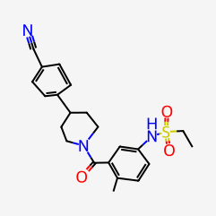 CCS(=O)(=O)Nc1ccc(C)c(C(=O)N2CCC(c3ccc(C#N)cc3)CC2)c1